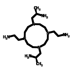 C[C@@H](N)CN1CCN(CCN)CCN(C[C@@H](C)N)CCN(CCN)CC1